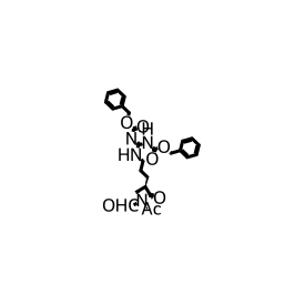 CC(=O)[N@+]1(C=O)C[C@@H](CCCNC(=NC(=O)OCc2ccccc2)NC(=O)OCc2ccccc2)C1=O